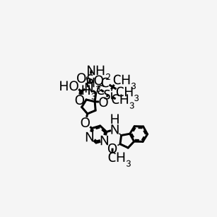 CO[C@H]1Cc2ccccc2[C@H]1Nc1cc(OC2CCC(CN(C(=O)O)S(N)(=O)=O)(O[Si](C)(C)C(C)(C)C)C2)ncn1